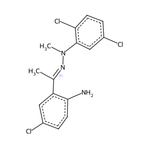 C/C(=N\N(C)c1cc(Cl)ccc1Cl)c1cc(Cl)ccc1N